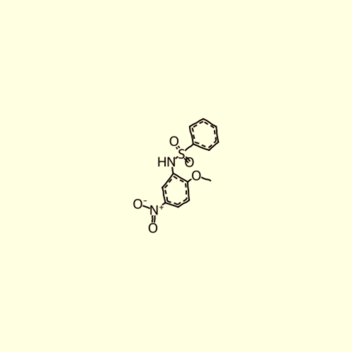 COc1ccc([N+](=O)[O-])cc1NS(=O)(=O)c1ccccc1